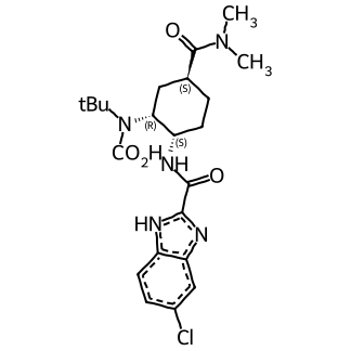 CN(C)C(=O)[C@H]1CC[C@H](NC(=O)c2nc3cc(Cl)ccc3[nH]2)[C@H](N(C(=O)O)C(C)(C)C)C1